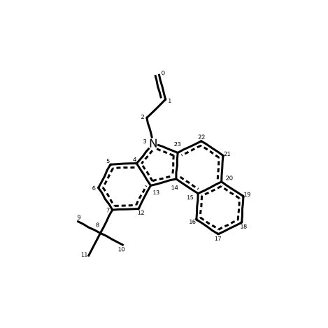 C=CCn1c2ccc(C(C)(C)C)cc2c2c3ccccc3ccc21